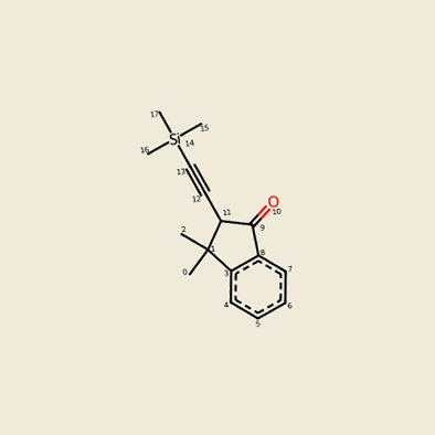 CC1(C)c2ccccc2C(=O)C1C#C[Si](C)(C)C